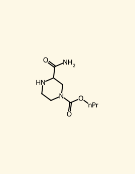 CCCOC(=O)N1CCNC(C(N)=O)C1